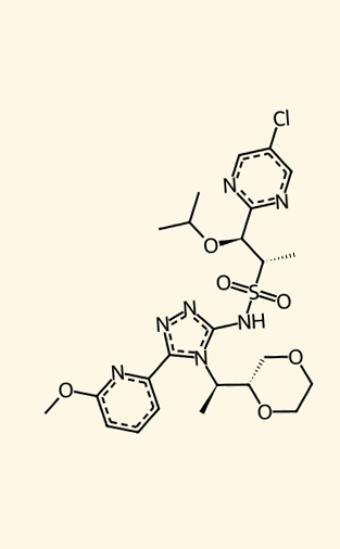 COc1cccc(-c2nnc(NS(=O)(=O)[C@@H](C)[C@@H](OC(C)C)c3ncc(Cl)cn3)n2[C@H](C)[C@@H]2COCCO2)n1